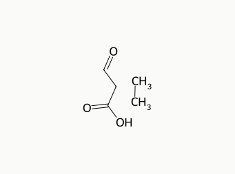 CC.O=CCC(=O)O